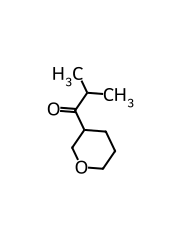 CC(C)C(=O)C1CCCOC1